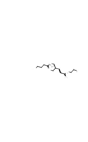 CCCCCCCCCCCCCC12OCC(C=CC(=O)OCCBr)(CO1)CO2